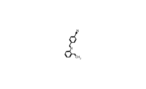 C=Cc1ccccc1N=Cc1ccc(C#N)cc1